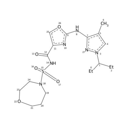 CCC(CC)n1cc(C)c(Nc2nc(C(=O)NS(=O)(=O)N3CCCOCC3)co2)n1